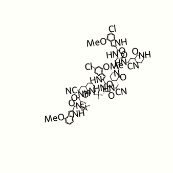 COc1cc(Cl)cc2[nH]c(C(=O)NC(CC(C)(C)CN3CCC[C@@H](C[C@@H](C#N)NC(=O)[C@H](CC(C)(C)CN4CCCC(CC(C#N)NC(=O)C5C[Si](C)(C)CN5C(=O)c5cc6c(OC)cccc6[nH]5)C4=O)NC(=O)c4cc5c(OC)cc(Cl)cc5[nH]4)C3=O)C(=O)NC(C#N)CC3CCCNC3=O)cc12